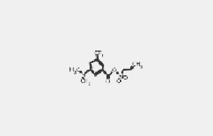 C=CCS(=O)(=O)OC(=O)c1cc(N(C)C)cc(C(F)(F)F)c1